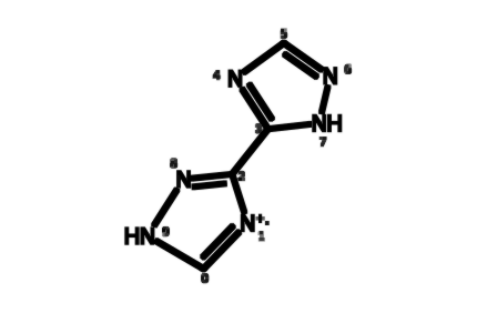 C1=[N+]C(c2ncn[nH]2)=NN1